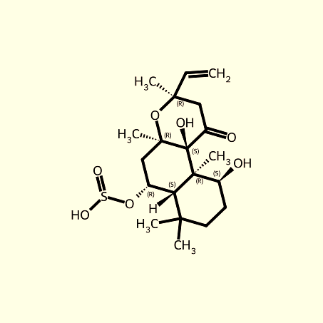 C=C[C@@]1(C)CC(=O)[C@]2(O)[C@@]3(C)[C@@H](O)CCC(C)(C)[C@@H]3[C@H](OS(=O)O)C[C@@]2(C)O1